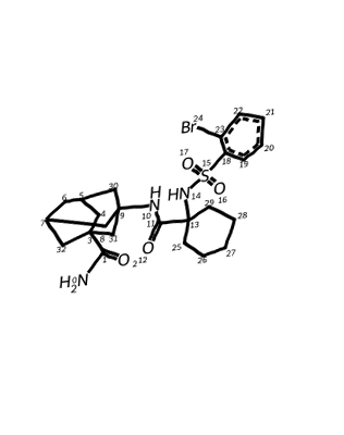 NC(=O)C12CC3CC(CC(NC(=O)C4(NS(=O)(=O)c5ccccc5Br)CCCCC4)(C3)C1)C2